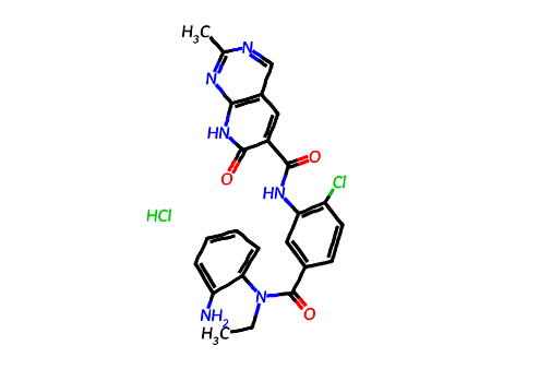 CCN(C(=O)c1ccc(Cl)c(NC(=O)c2cc3cnc(C)nc3[nH]c2=O)c1)c1ccccc1N.Cl